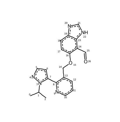 CC(C)n1nccc1-c1ncccc1COc1ccc2nc[nH]c2c1C=O